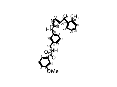 COc1cccc(S(=O)(=O)NCc2cccc(Nc3ncc(C(=O)c4ccccc4C)s3)c2)c1